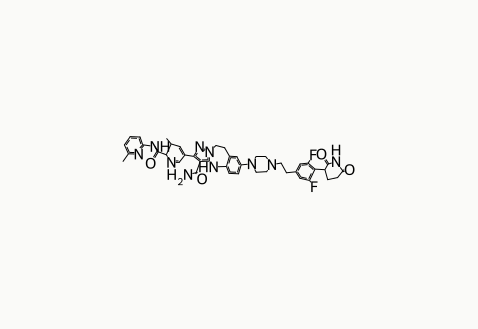 Cc1cccc(NC(=O)C2N=CC(c3nn4c(c3C(N)=O)Nc3ccc(N5CCN(CCc6cc(F)c(C7CCC(=O)NC7=O)c(F)c6)CC5)cc3CC4)=CC2C)n1